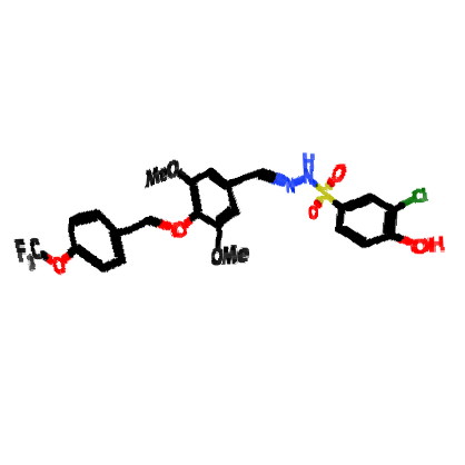 COc1cc(/C=N/NS(=O)(=O)c2ccc(O)c(Cl)c2)cc(OC)c1OCc1ccc(OC(F)(F)F)cc1